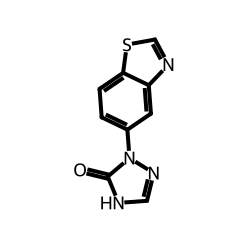 O=c1[nH]cnn1-c1ccc2scnc2c1